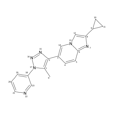 Cc1c(-c2ccc3nc(C4CC4)cn3c2)nnn1-c1cccnc1